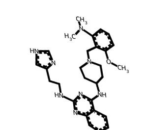 COc1cccc(N(C)C)c1CN1CCC(Nc2nc(NCCc3c[nH]cn3)nc3ccccc23)CC1